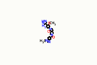 COc1cc(N2CCC3(CCN(C(=O)c4ccc5c(c4)ncn5C)CC3)C2=O)ccc1/C(C=N)=C/N